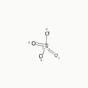 [O]=[Ti](=[O])([Cl])[Cl]